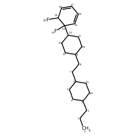 CCCC1CCC(CCC2CCC(C3(F)C=CC=CC3F)CC2)CC1